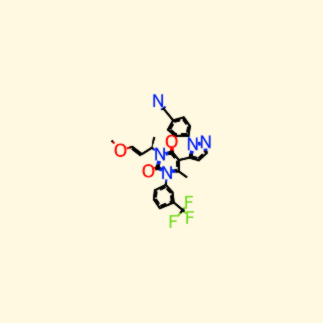 COC=C[C@@H](C)n1c(=O)c(-c2ccnn2-c2ccc(C#N)cc2)c(C)n(-c2cccc(C(F)(F)F)c2)c1=O